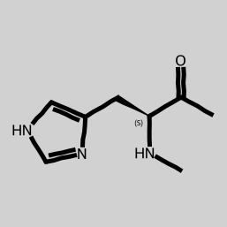 CN[C@@H](Cc1c[nH]cn1)C(C)=O